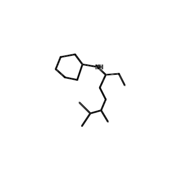 CCC(CCC(C)C(C)C)NC1CCCCC1